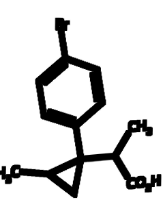 CC1CC1(c1ccc(Br)cc1)C(C)C(=O)O